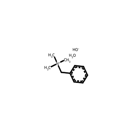 C[N+](C)(C)Cc1ccccc1.O.[OH-]